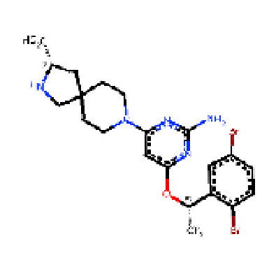 Nc1nc(O[C@H](c2cc(Br)ccc2Br)C(F)(F)F)cc(N2CCC3(CC2)CN[C@H](C(=O)O)C3)n1